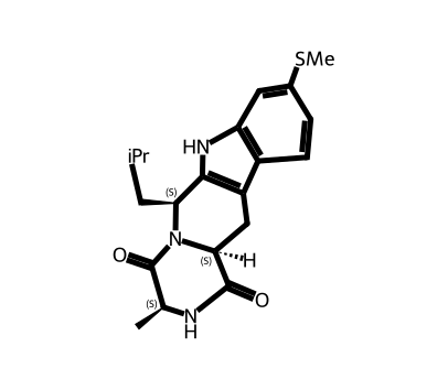 CSc1ccc2c3c([nH]c2c1)[C@H](CC(C)C)N1C(=O)[C@H](C)NC(=O)[C@@H]1C3